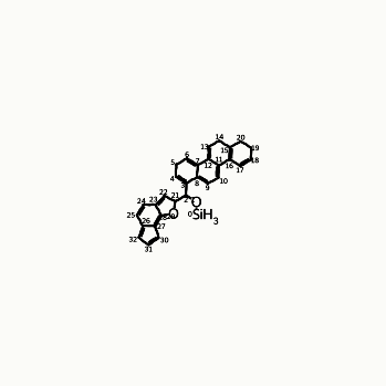 [SiH3]OC(C1=CCC=c2c1ccc1c2=CCC2=C1C=CCC2)C1C=c2ccc3c(c2O1)C=CC=3